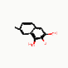 Cc1ccc2cc(O)c(O)c(O)c2c1